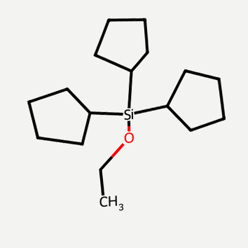 CCO[Si](C1CCCC1)(C1CCCC1)C1CCCC1